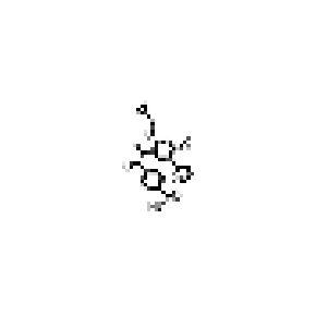 C=C(C(=O)c1ccc(C(=O)O)cc1)c1cc(-c2cccs2)c(OC)cc1OCC1CC1